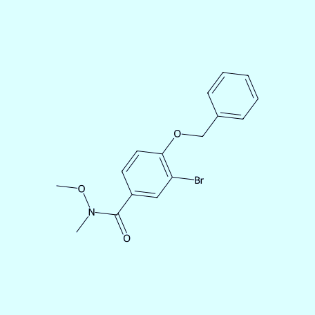 CON(C)C(=O)c1ccc(OCc2ccccc2)c(Br)c1